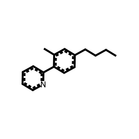 CCCCc1ccc(-c2ccccn2)c(C)c1